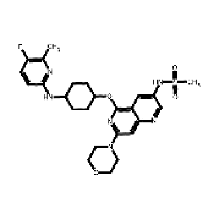 Cc1nc(NC2CCC(Oc3nc(N4CCOCC4)cc4ncc(NS(C)(=O)=O)cc34)CC2)ccc1F